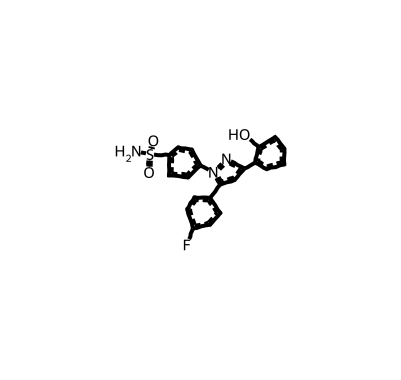 NS(=O)(=O)c1ccc(-n2nc(-c3ccccc3O)cc2-c2ccc(F)cc2)cc1